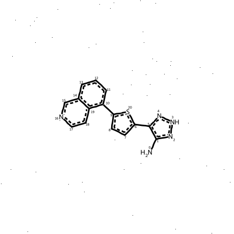 Nc1n[nH]nc1-c1ccc(-c2cccc3cnccc23)s1